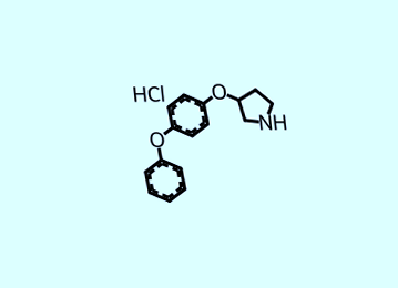 Cl.c1ccc(Oc2ccc(OC3CCNC3)cc2)cc1